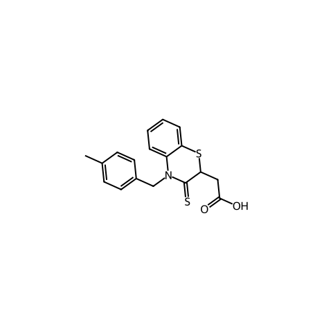 Cc1ccc(CN2C(=S)C(CC(=O)O)Sc3ccccc32)cc1